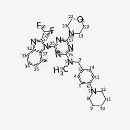 CN(Cc1ccc(N2CCCCC2)cc1)c1nc(N2CCOCC2)nc(-n2c(C(F)F)nc3ccccc32)n1